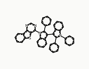 c1ccc(-c2c(-c3c(-c4ccccc4)n(-c4ncnc5c4sc4ccccc45)c4ccccc34)c3ccccc3n2-c2ccccc2)cc1